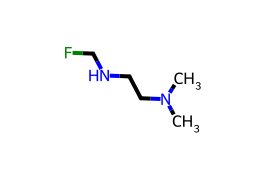 CN(C)CCNCF